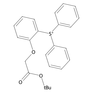 CC(C)(C)OC(=O)COc1ccccc1[S+](c1ccccc1)c1ccccc1